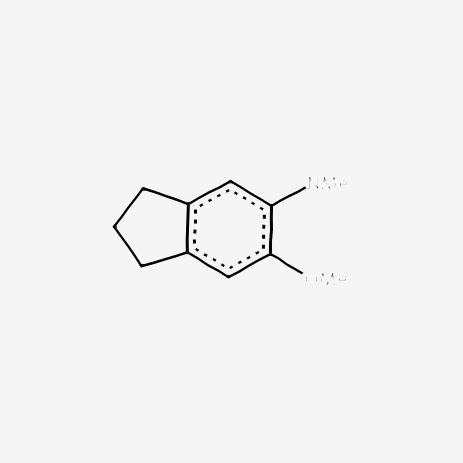 CNc1cc2c(cc1OC)CCC2